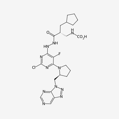 O=C(O)NC[C@@H](CC1CCCC1)C(=O)NNc1nc(Cl)nc(N2CCC[C@H]2Cn2nnc3cncnc32)c1F